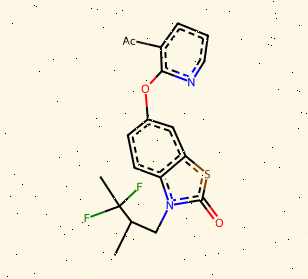 CC(=O)c1cccnc1Oc1ccc2c(c1)sc(=O)n2CC(C)C(C)(F)F